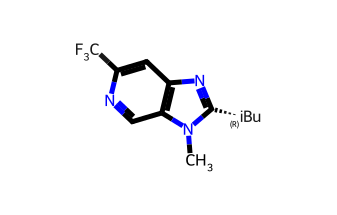 CC[C@@H](C)c1nc2cc(C(F)(F)F)ncc2n1C